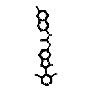 Cc1ccc2cc(NC(=O)Oc3ccc4nc(-c5c(Cl)cccc5Cl)[nH]c4c3)ccc2n1